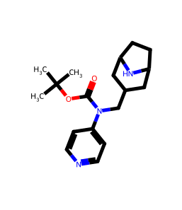 CC(C)(C)OC(=O)N(CC1CC2CCC(C1)N2)c1ccncc1